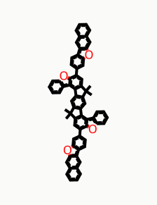 CC1(C)c2cc3c(cc2-c2c1cc(-c1ccc4c(c1)oc1cc5ccccc5cc14)c1oc4ccccc4c21)C(C)(C)c1cc(-c2ccc4c(c2)oc2cc5ccccc5cc24)c2oc4ccccc4c2c1-3